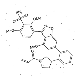 C=CC(=O)N1CCC(c2ccccc2-c2cc(OC)c3c(-c4ccc(OC)c(S(N)(=O)=O)c4OC)noc3c2)C1